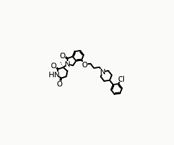 C[C@]1(N2Cc3c(OCCCN4CCC(c5ccccc5Cl)CC4)cccc3C2=O)CCC(=O)NC1=O